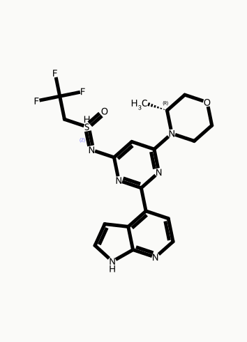 C[C@@H]1COCCN1c1cc(/N=[SH](=O)/CC(F)(F)F)nc(-c2ccnc3[nH]ccc23)n1